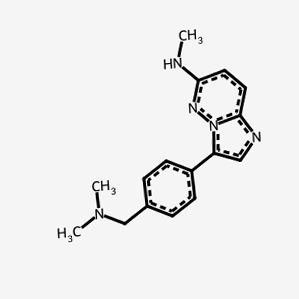 CNc1ccc2ncc(-c3ccc(CN(C)C)cc3)n2n1